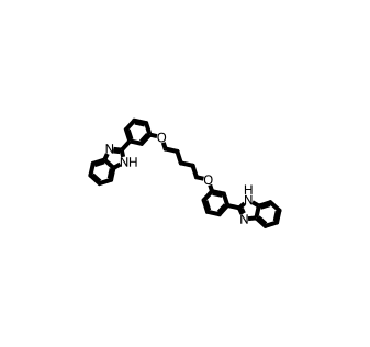 c1cc(OCCCCCOc2cccc(-c3nc4ccccc4[nH]3)c2)cc(-c2nc3ccccc3[nH]2)c1